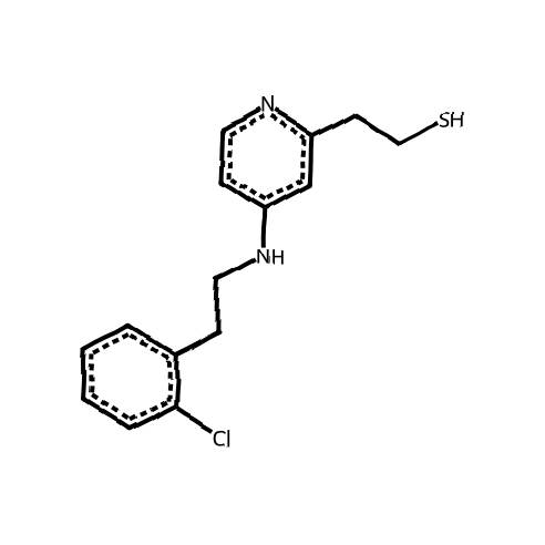 SCCc1cc(NCCc2ccccc2Cl)ccn1